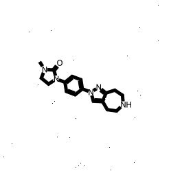 CN1CCN(c2ccc(-n3cc4c(n3)CCNCC4)cc2)C1=O